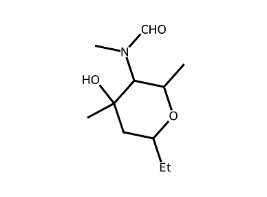 CCC1CC(C)(O)C(N(C)C=O)C(C)O1